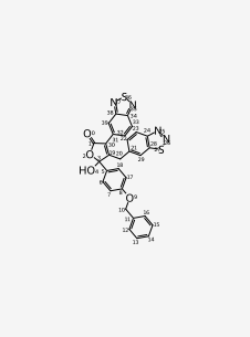 O=C1OC(O)(c2ccc(OCc3ccccc3)cc2)C(Cc2ccc3nnsc3c2)=C1c1ccc2nsnc2c1